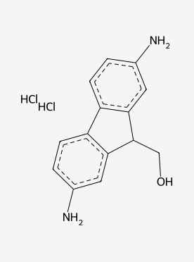 Cl.Cl.Nc1ccc2c(c1)C(CO)c1cc(N)ccc1-2